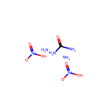 N.N.NC(N)=O.O=[N+]([O-])O.O=[N+]([O-])O